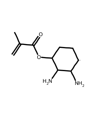 C=C(C)C(=O)OC1CC[CH]C(N)C1N